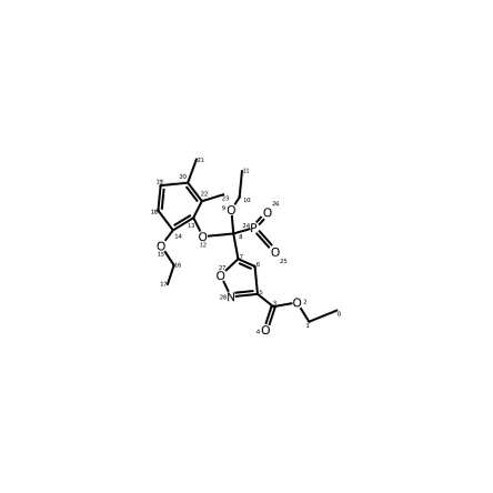 CCOC(=O)c1cc(C(OCC)(Oc2c(OCC)ccc(C)c2C)P(=O)=O)on1